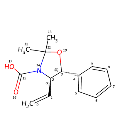 C=C[C@@H]1[C@@H](c2ccccc2)OC(C)(C)N1C(=O)O